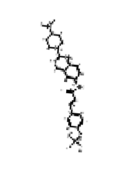 CN(C)C1CCN(c2ncc3cc(NC(=O)C=Cc4ccc(OC(F)(F)F)cc4)ccc3n2)CC1